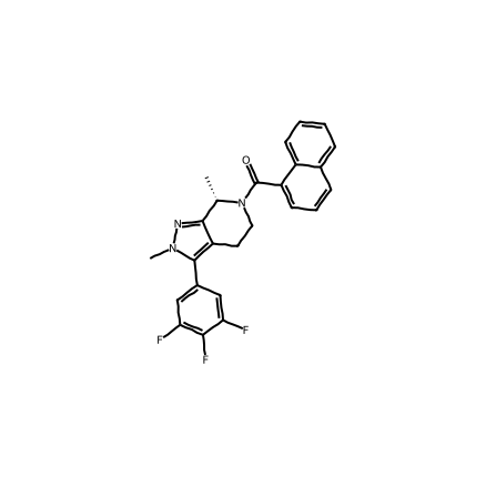 C[C@H]1c2nn(C)c(-c3cc(F)c(F)c(F)c3)c2CCN1C(=O)c1cccc2ccccc12